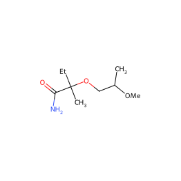 CCC(C)(OCC(C)OC)C(N)=O